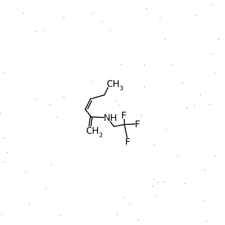 C=C(/C=C\CC)NCC(F)(F)F